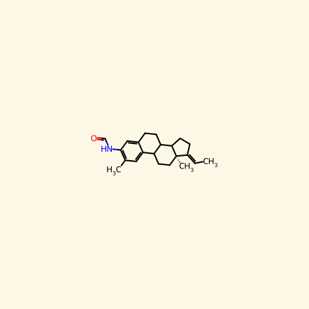 CC=C1CCC2C3CCc4cc(NC=O)c(C)cc4C3CC[C@]12C